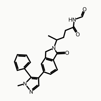 CC(CCC(=O)NC=O)N1Cc2cc(-c3cnn(C)c3-c3ccccc3)ccc2C1=O